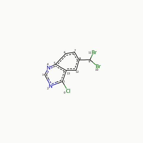 Clc1ncnc2ccc(C(Br)Br)cc12